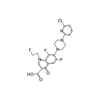 O=C(O)c1cn(CCF)c2c(F)c(N3CCN(c4cccc(Cl)n4)CC3)c(F)cc2c1=O